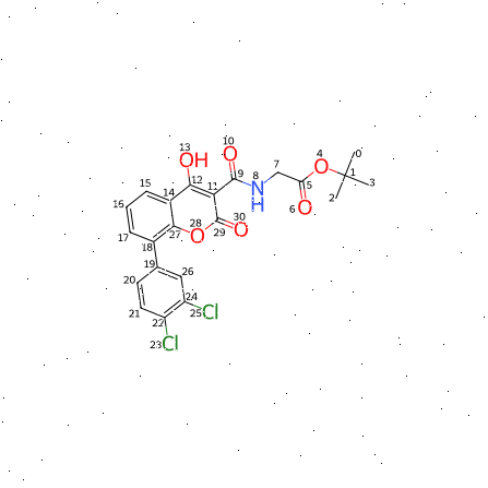 CC(C)(C)OC(=O)CNC(=O)c1c(O)c2cccc(-c3ccc(Cl)c(Cl)c3)c2oc1=O